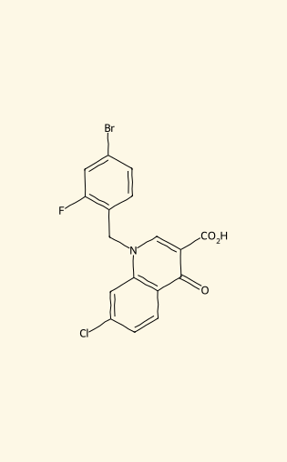 O=C(O)c1cn(Cc2ccc(Br)cc2F)c2cc(Cl)ccc2c1=O